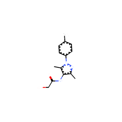 Cc1nn(-c2ccc([N+](=O)[O-])cc2)c(C)c1NC(=O)CO